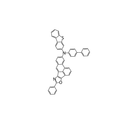 c1ccc(-c2ccc(N(c3ccc4c(c3)sc3ccccc34)c3ccc4cc5c6c(cccc6c4c3)-c3oc(-c4ccccc4)nc3-5)cc2)cc1